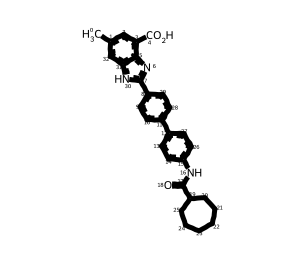 Cc1cc(C(=O)O)c2nc(-c3ccc(-c4ccc(NC(=O)C5CCCCCC5)cc4)cc3)[nH]c2c1